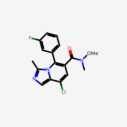 CON(C)C(=O)c1cc(Cl)c2cnc(C)n2c1-c1cccc(F)c1